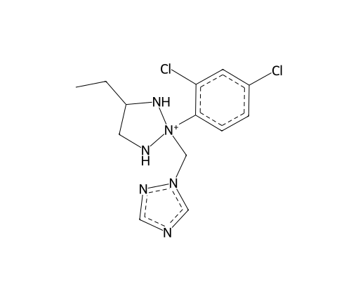 CCC1CN[N+](Cn2cncn2)(c2ccc(Cl)cc2Cl)N1